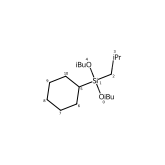 CC(C)CO[Si](CC(C)C)(OCC(C)C)C1CCCCC1